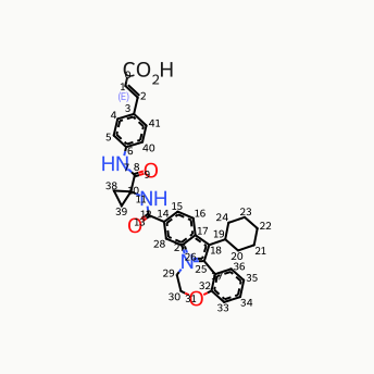 O=C(O)/C=C/c1ccc(NC(=O)C2(NC(=O)c3ccc4c(C5CCCCC5)c5n(c4c3)CCOc3ccccc3-5)CC2)cc1